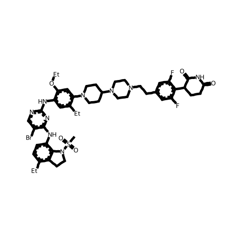 CCOc1cc(N2CCC(N3CCN(CCc4cc(F)c(C5CCC(=O)NC5=O)c(F)c4)CC3)CC2)c(CC)cc1Nc1ncc(Br)c(Nc2ccc(CC)c3c2N(S(C)(=O)=O)CC3)n1